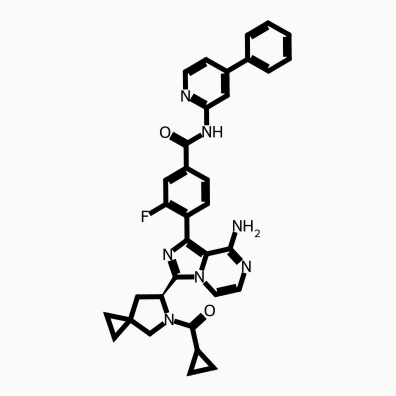 Nc1nccn2c([C@@H]3CC4(CC4)CN3C(=O)C3CC3)nc(-c3ccc(C(=O)Nc4cc(-c5ccccc5)ccn4)cc3F)c12